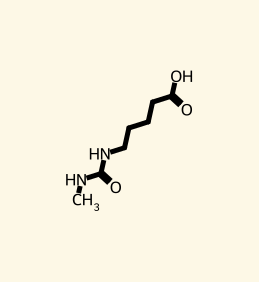 CNC(=O)NCCCCC(=O)O